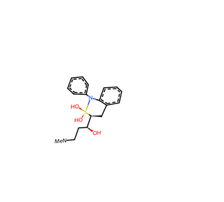 CNCC[C@H](O)[C@@H]1Cc2ccccc2N(c2ccccc2)S1(O)O